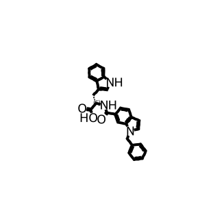 O=C(N[C@@H](Cc1c[nH]c2ccccc12)C(=O)O)c1ccc2ccn(Cc3ccccc3)c2c1